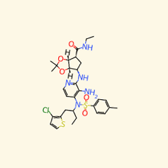 CCNC(=O)[C@H]1C[C@@H](Nc2nccc(N(C(CC)Cc3sccc3Cl)S(=O)(=O)c3ccc(C)cc3)c2N)[C@@H]2OC(C)(C)O[C@@H]21